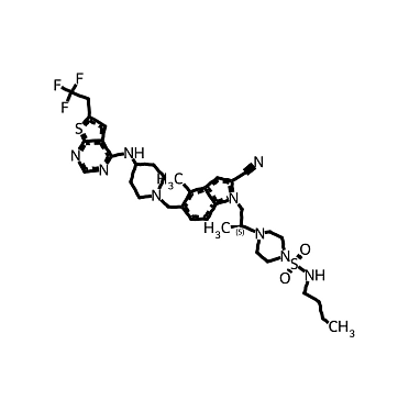 CCCCNS(=O)(=O)N1CCN([C@@H](C)Cn2c(C#N)cc3c(C)c(CN4CCC(Nc5ncnc6sc(CC(F)(F)F)cc56)CC4)ccc32)CC1